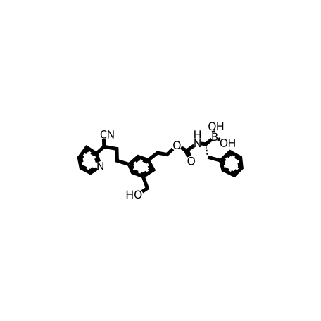 N#CC(CCc1cc(CO)cc(CCOC(=O)N[C@@H](Cc2ccccc2)B(O)O)c1)c1ccccn1